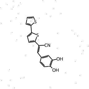 N#C/C(=C\c1ccc(O)c(O)c1)c1ccc(-c2cccs2)s1